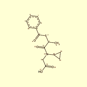 CC(SC(=O)c1ccccc1)C(=O)N(CC(=O)O)C1CC1